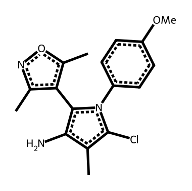 COc1ccc(-n2c(Cl)c(C)c(N)c2-c2c(C)noc2C)cc1